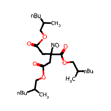 CCCCC(C)COC(=O)CC(CC(=O)OCC(C)CCCC)(N=O)C(=O)OCC(C)CCCC